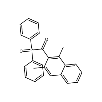 Cc1cc2ccccc2c(C)c1C(=O)P(=O)(c1ccccc1)c1ccccc1